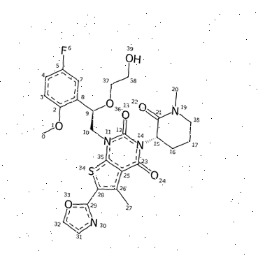 COc1ccc(F)cc1[C@H](Cn1c(=O)n([C@H]2CCCN(C)C2=O)c(=O)c2c(C)c(-c3ncco3)sc21)OCCO